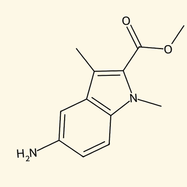 COC(=O)c1c(C)c2cc(N)ccc2n1C